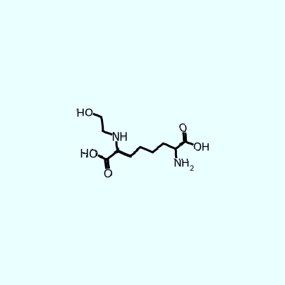 NC(CCCCC(NCCO)C(=O)O)C(=O)O